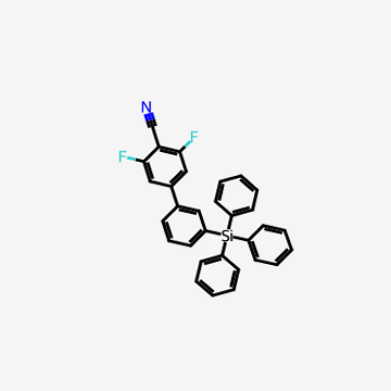 N#Cc1c(F)cc(-c2cccc([Si](c3ccccc3)(c3ccccc3)c3ccccc3)c2)cc1F